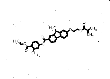 C=COC(=O)c1ccc(SC(=O)c2ccc3c(c2)C(C)c2cc(OCCOC(=O)C(=C)C)ccc2-3)cc1C